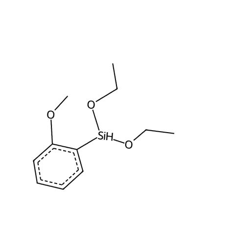 CCO[SiH](OCC)c1ccccc1OC